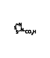 O=C(O)N1N=CSS1